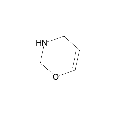 C1=COCNC1